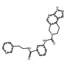 O=C(NCCc1cccnc1)c1cccc(NC(=O)N2CCc3c(cnc4[nH]ncc34)C2)c1